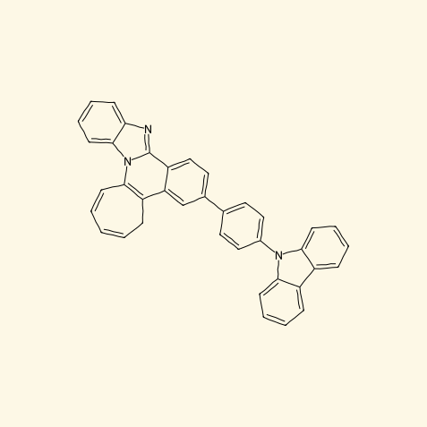 C1=CCc2c(n3c4ccccc4nc3c3ccc(-c4ccc(-n5c6ccccc6c6ccccc65)cc4)cc23)C=C1